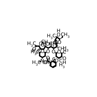 CC[C@@H](OC(=O)[C@H](C)[C@@H](OC1C[C@@](C)(OC)[C@@H](O)[C@H](C)O1)[C@H](C)[C@@H](OC1O[C@H](C)C[C@H](N(C)C)[C@H]1OC(=O)c1ccccc1)[C@@](C)(C[C@@H](C)[C@H](O)C(C)=O)OC)[C@@](C)(O)C=O